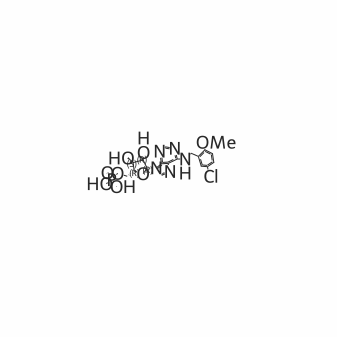 COc1ccc(Cl)cc1CNc1ncnc2c1ncn2[C@@H]1O[C@H](COP(=O)(O)O)[C@@H](O)[C@H]1O